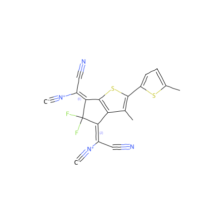 [C-]#[N+]/C(C#N)=C1/c2c(sc(-c3ccc(C)s3)c2C)/C(=C(\C#N)[N+]#[C-])C1(F)F